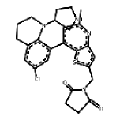 Cc1cc(-c2cc(Cl)cc3c2N(C2CCNC2)CCC3)c2sc(CN3C(=O)CCC3=O)cc2n1